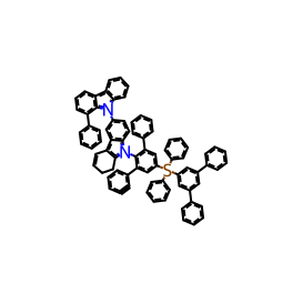 c1cccc(-c2cc(S(c3ccccc3)(c3ccccc3)c3cc(-c4ccccc4)cc(-c4ccccc4)c3)cc(-c3ccccc3)c2-n2c3c(c4cc(-n5c6ccccc6c6cccc(-c7ccccc7)c65)ccc42)C=CCC3)c#1